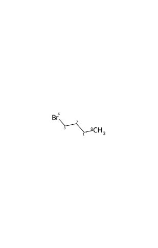 C[CH]CCBr